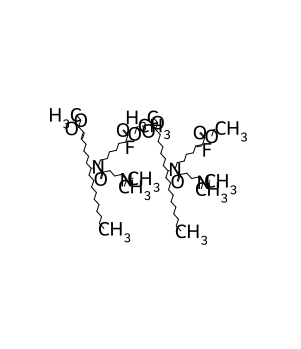 CCCCCCCCCCC(CCCCC=CC(=O)OC)N(CCCCCC(F)C(=O)OCC)C(=O)CCCN(C)C.CCCCCCCCCCC(CCCCCCC(=O)OC)N(CCCCC=C(F)C(=O)OCC)C(=O)CCCN(C)C